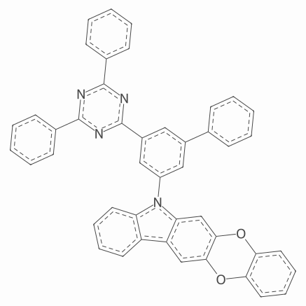 c1ccc(-c2cc(-c3nc(-c4ccccc4)nc(-c4ccccc4)n3)cc(-n3c4ccccc4c4cc5c(cc43)Oc3ccccc3O5)c2)cc1